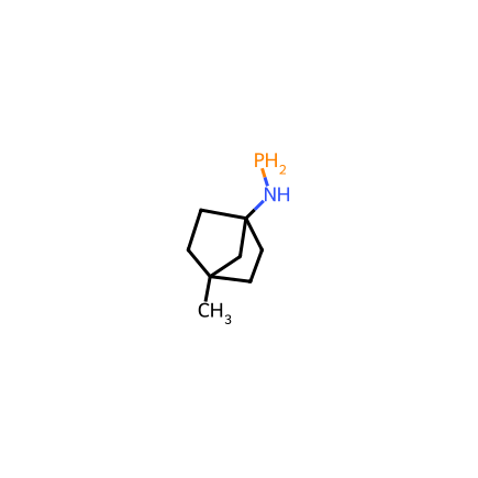 CC12CCC(NP)(CC1)C2